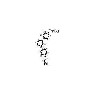 CCCCOc1ccc(-c2cccc(-c3ccc(CCO)cc3)c2)cc1